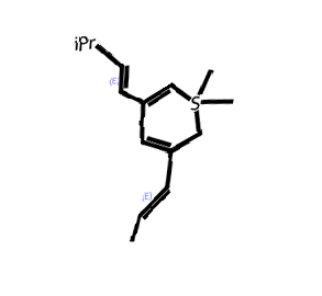 C/C=C/C1=CC(/C=C/C(C)C)=CS(C)(C)C1